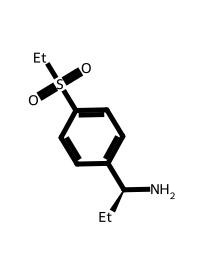 CC[C@H](N)c1ccc(S(=O)(=O)CC)cc1